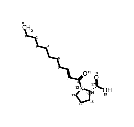 CCCCCCCCC=CC(=O)N1CCC[C@H]1C(=O)O